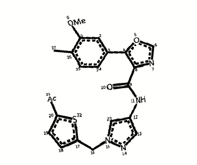 COc1cc(-c2ocnc2C(=O)Nc2cnn(Cc3ccc(C(C)=O)s3)c2)ccc1C